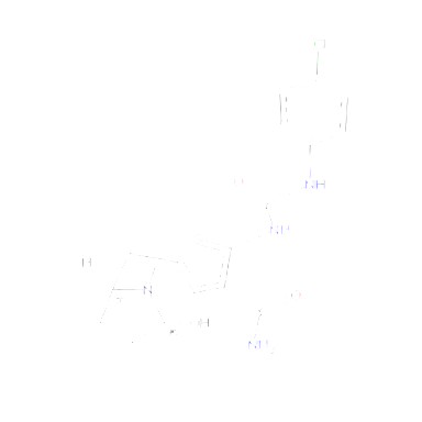 CN1[C@H]2CC[C@@H]1c1c(sc(NC(=O)Nc3ccc(Cl)cc3)c1C(N)=O)C2